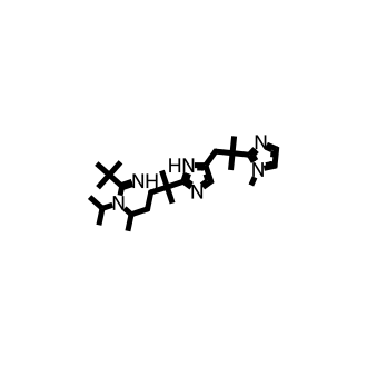 CC(C)N(C(=N)C(C)(C)C)C(C)CCC(C)(C)c1ncc(CC(C)(C)c2nccn2C)[nH]1